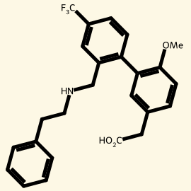 COc1ccc(CC(=O)O)cc1-c1ccc(C(F)(F)F)cc1CNCCc1ccccc1